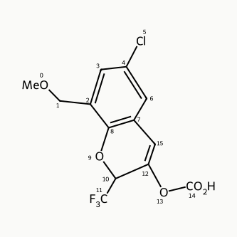 COCc1cc(Cl)cc2c1OC(C(F)(F)F)C(OC(=O)O)=C2